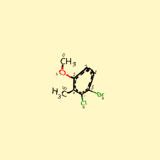 COc1ccc(Br)c(Cl)c1C